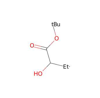 C[CH]C(O)C(=O)OC(C)(C)C